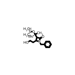 C[SiH](C)O[C@@](C)(C1C(=O)N(Cc2ccccc2)C1CCO)C(C)(C)C